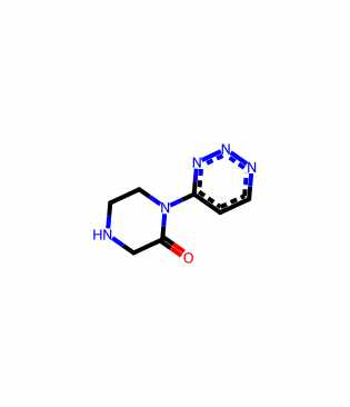 O=C1CNCCN1c1ccnnn1